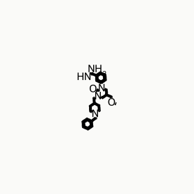 COCC1CN(CC2CCN(Cc3ccccc3)CC2)C(=O)N(c2cccc(C(=N)N)c2)C1